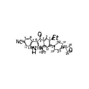 CCc1cc2c(=O)c3c4ccc(C#N)cc4[nH]c3n(C(C)C)c2cc1C1CCN(C2COC2)CC1